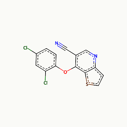 N#Cc1cnc2ccsc2c1Oc1ccc(Cl)cc1Cl